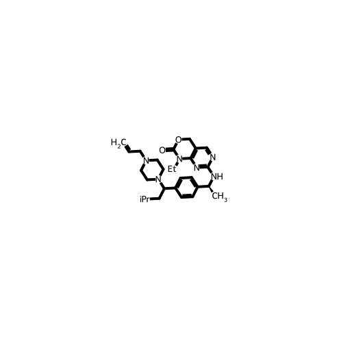 C=CCN1CCN(C(CC(C)C)c2ccc([C@H](C)Nc3ncc4c(n3)N(CC)C(=O)OC4)cc2)CC1